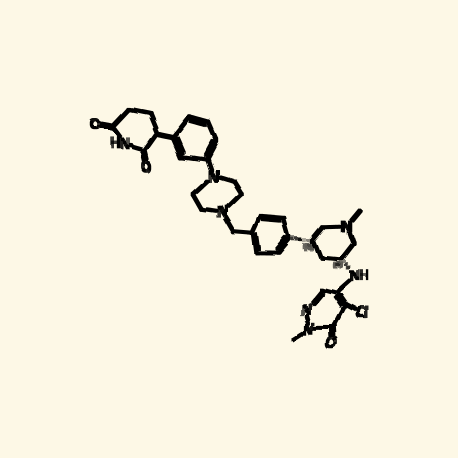 CN1C[C@H](Nc2cnn(C)c(=O)c2Cl)C[C@H](c2ccc(CN3CCN(c4cccc(C5CCC(=O)NC5=O)c4)CC3)cc2)C1